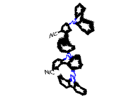 N#Cc1ccc2c(c1)c1c(-n3c4ccccc4c4ccccc43)cccc1n2-c1ccc(-c2cc(-n3c4ccccc4c4ccccc43)ccc2C#N)cc1